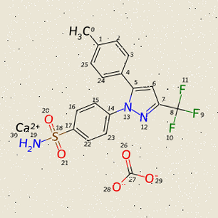 Cc1ccc(-c2cc(C(F)(F)F)nn2-c2ccc(S(N)(=O)=O)cc2)cc1.O=C([O-])[O-].[Ca+2]